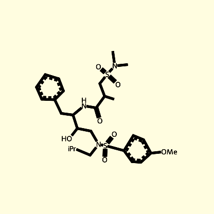 COc1ccc(S(=O)(=O)N(CC(C)C)CC(O)C(Cc2ccccc2)NC(=O)C(C)CS(=O)(=O)N(C)C)cc1